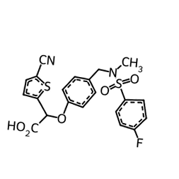 CN(Cc1ccc(OC(C(=O)O)c2ccc(C#N)s2)cc1)S(=O)(=O)c1ccc(F)cc1